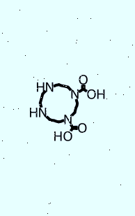 O=C(O)N1CCNCCNCCN(C(=O)O)CC1